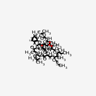 C/C=C(\C)[C@@H](OC(=O)[C@H](N)CCCCNC(=O)OC(C)(C)C)[C@@H](C)[C@H](C/C=C(\C)C(=O)O[C@H](CC(C)C)C(=O)N[C@@H](C)C(=O)N(C)[C@H](Cc1ccccc1)C(=O)N(C)CC(=O)N[C@H](C(=O)O)C(C)CC)OCSC